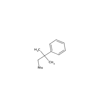 CC(C)([CH2][Mo])c1ccccc1